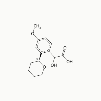 COc1ccc(C(O)C(=O)O)c([C@@H]2CCCCO2)c1